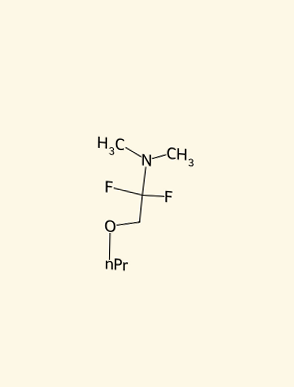 CCCOCC(F)(F)N(C)C